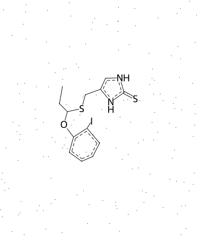 CCC(Oc1ccccc1I)SCc1c[nH]c(=S)[nH]1